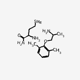 CSCCC(N)C(N)=O.Cc1cccc(C)c1OCC(C)N